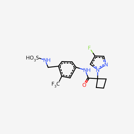 O=C(Nc1ccc(CNS(=O)(=O)O)c(C(F)(F)F)c1)C1(n2cc(F)cn2)CCC1